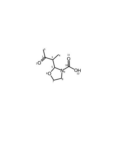 CC(=O)C(C)C1OCCN1C(=O)O